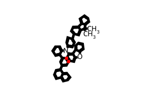 CC1(C)c2ccccc2-c2ccc(-c3ccc(N(c4ccccc4-c4cccc(-c5cccc6ccccc56)c4)c4cccc5oc6ccccc6c45)cc3)cc21